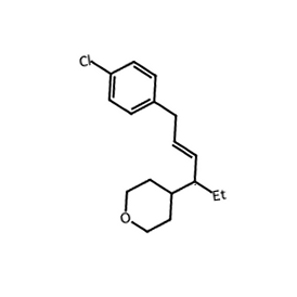 CC[C](C=CCc1ccc(Cl)cc1)C1CCOCC1